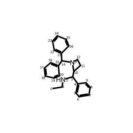 CCNC(c1ccccc1)C1CCN1C(c1ccccc1)c1ccccc1